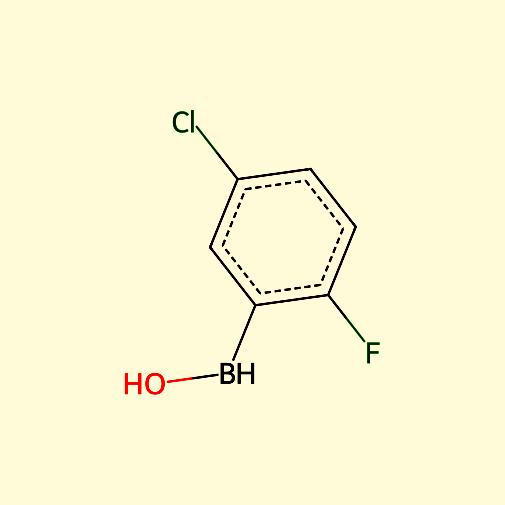 OBc1cc(Cl)ccc1F